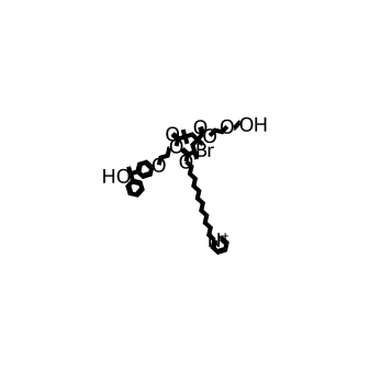 C=C(OCCCCCCCCCCCC[n+]1ccccc1)C(C)(Br)CC(C)(CC(C)(C)C(=O)OCCCOc1ccc(C(C)(O)c2ccccc2)cc1)C(=O)OCCOCCO